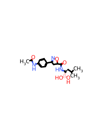 CC(=O)Nc1ccc(C2=NOC(C(=O)N[C@@H](CC(C)C)B(O)O)C2)cc1